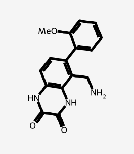 COc1ccccc1-c1ccc2[nH]c(=O)c(=O)[nH]c2c1CN